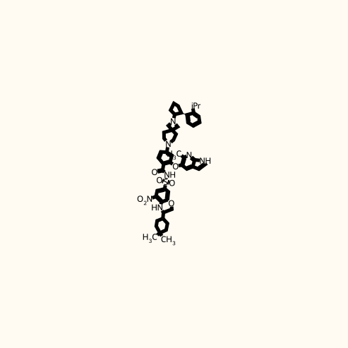 Cc1nc2[nH]ccc2cc1Oc1cc(N2CCC3(CC2)CN(C2CCC[C@@H]2c2ccccc2C(C)C)C3)ccc1C(=O)NS(=O)(=O)c1cc2c(c([N+](=O)[O-])c1)NC(C1CCC(C)(C)CC1)CO2